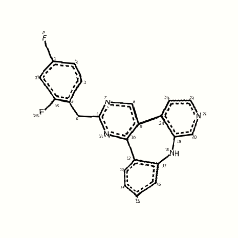 Fc1ccc(Cc2ncc3c(n2)-c2ccccc2Nc2cnccc2-3)c(F)c1